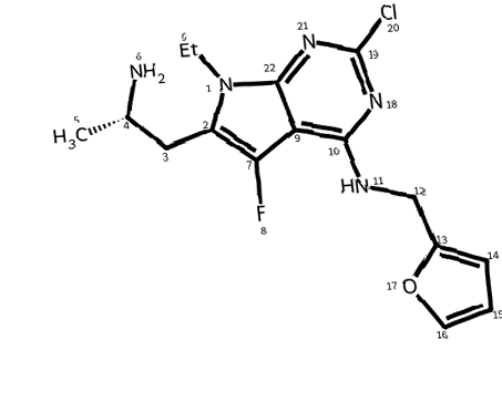 CCn1c(C[C@H](C)N)c(F)c2c(NCc3ccco3)nc(Cl)nc21